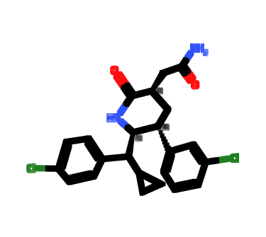 NC(=O)C[C@H]1C[C@H](c2cccc(Cl)c2)[C@@H](C(c2ccc(Cl)cc2)C2CC2)NC1=O